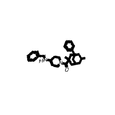 CC1CC2CC(C)(C(=O)N3CCC(NCc4ccccc4)CC3)CC(c3ccccc3)(C1)C2